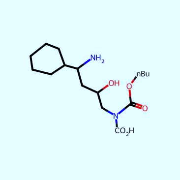 CCCCOC(=O)N(CC(O)CC(N)C1CCCCC1)C(=O)O